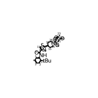 CC(C)(C)c1ccccc1NC(=O)c1csc(C2CCN(S(=O)(=O)CS(C)(=O)=O)CC2)n1